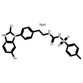 CCC1Nc2ccc(C(C)=O)cc2N1c1ccc(CCNC(=O)NS(=O)(=O)c2ccc(C)cc2)cc1.[NaH]